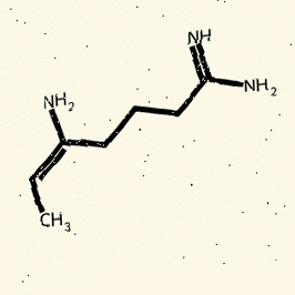 C/C=C(/N)CCCC(=N)N